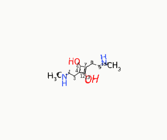 CNCCC1=C(O)C(CCNC)=C1O